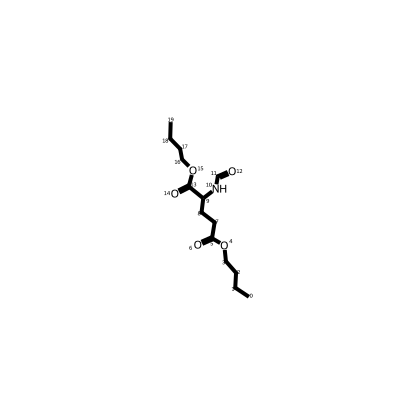 CCCCOC(=O)CCC(NC=O)C(=O)OCCCC